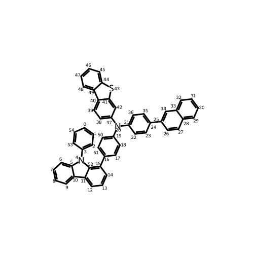 c1ccc(-n2c3ccccc3c3cccc(-c4ccc(N(c5ccc(-c6ccc7ccccc7c6)cc5)c5ccc6c(c5)sc5ccccc56)cc4)c32)cc1